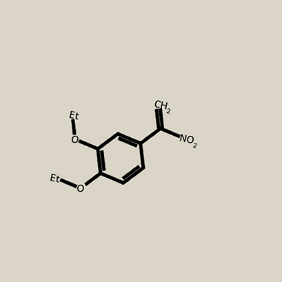 C=C(c1ccc(OCC)c(OCC)c1)[N+](=O)[O-]